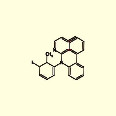 CC1C(N(c2ccccn2)c2ccccc2-c2cc#ccc2)=CC=CC1I